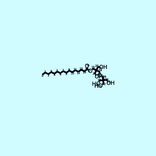 CCCCCCCCCCCCCCCC(=O)OCC(CO)(CO)COCC(CO)(CO)CO